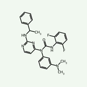 CC(Nc1nccc(N(C(=O)Nc2c(F)cccc2F)c2cccc(N(C)C)c2)n1)c1ccccc1